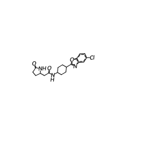 O=C(CC1CCC(=O)N1)NC1CCC(c2nc3cc(Cl)ccc3o2)CC1